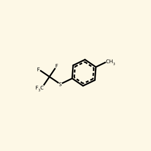 Cc1ccc(SC(F)(F)C(F)(F)F)cc1